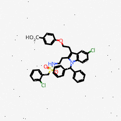 O=C(O)c1ccc(OCCc2c(CCNS(=O)(=O)Cc3ccccc3Cl)n(C(c3ccccc3)c3ccccc3)c3ccc(Cl)cc23)cc1